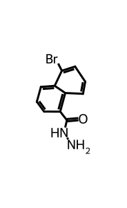 NNC(=O)c1cccc2c(Br)cccc12